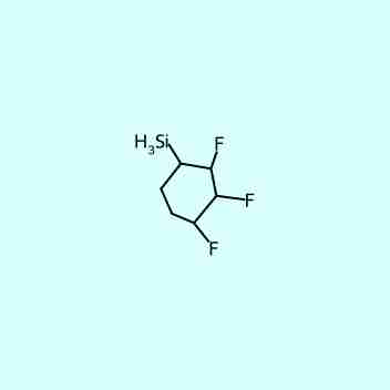 FC1CCC([SiH3])C(F)C1F